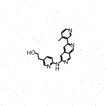 Cc1ccncc1-c1cc2cc(Nc3ccc(CCO)cn3)ncc2cn1